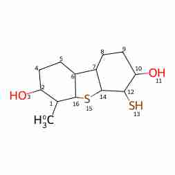 CC1C(O)CCC2C3CCC(O)C(S)C3SC12